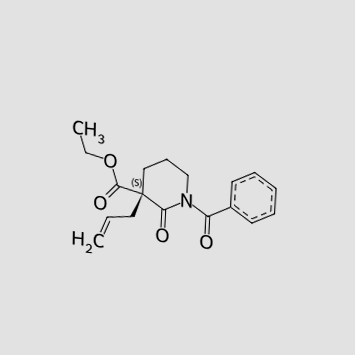 C=CC[C@@]1(C(=O)OCC)CCCN(C(=O)c2ccccc2)C1=O